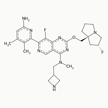 Cc1cc(N)nc(-c2ncc3c(N(C)CC4CNC4)nc(OC[C@@]45CCCN4C[C@H](F)C5)nc3c2F)c1C